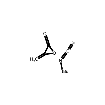 C=C1OC1=O.CC(C)(C)N=C=S